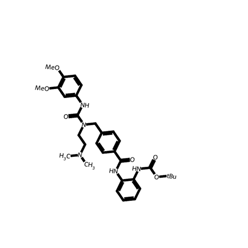 COc1ccc(NC(=O)N(CCN(C)C)Cc2ccc(C(=O)Nc3ccccc3NC(=O)OC(C)(C)C)cc2)cc1OC